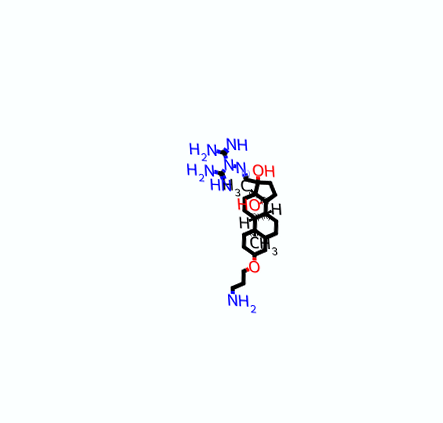 C[C@]12CCC(OCCCN)CC1CC[C@@H]1[C@H]2CC[C@]2(C)C(O)(/C=N/N(C(=N)N)C(=N)N)CC[C@@]12O